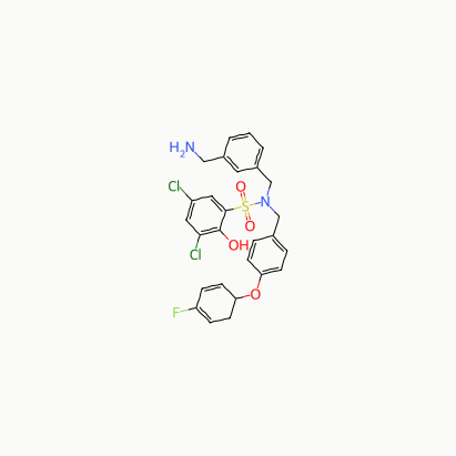 NCc1cccc(CN(Cc2ccc(OC3C=CC(F)=CC3)cc2)S(=O)(=O)c2cc(Cl)cc(Cl)c2O)c1